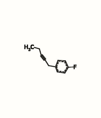 CCC#CCc1ccc(F)cc1